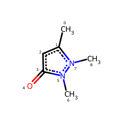 Cc1[c]c(=O)n(C)n1C